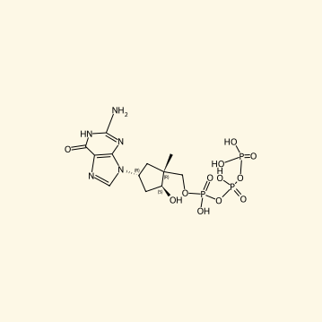 C[C@]1(COP(=O)(O)OP(=O)(O)OP(=O)(O)O)C[C@@H](n2cnc3c(=O)[nH]c(N)nc32)C[C@@H]1O